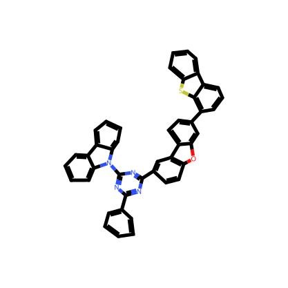 c1ccc(-c2nc(-c3ccc4oc5cc(-c6cccc7c6sc6ccccc67)ccc5c4c3)nc(-n3c4ccccc4c4ccccc43)n2)cc1